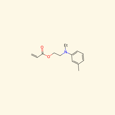 C=CC(=O)OCCN(CC)c1cccc(C)c1